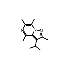 Cc1nn2c(C)c(C)nc(C)c2c1C(C)C